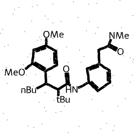 CCCCC(c1ccc(OC)cc1OC)C(C(=O)Nc1cccc(CC(=O)NC)c1)C(C)(C)C